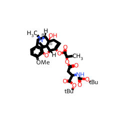 COc1ccc2c3c1O[C@H]1C(OC(=O)C(C)OC(=O)CC(NC(=O)OC(C)(C)C)C(=O)OC(C)(C)C)=CC[C@@]4(O)[C@@H](C2)N(C)CC[C@]314